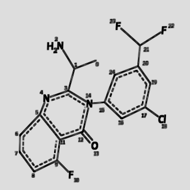 CC(N)c1nc2cccc(F)c2c(=O)n1-c1cc(Cl)cc(C(F)F)c1